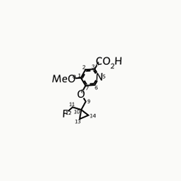 COc1cc(C(=O)O)ncc1OCC1(CF)CC1